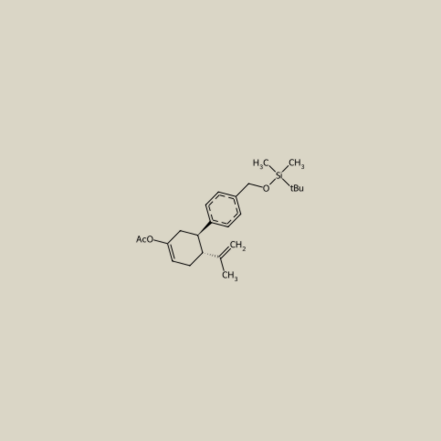 C=C(C)[C@@H]1CC=C(OC(C)=O)C[C@H]1c1ccc(CO[Si](C)(C)C(C)(C)C)cc1